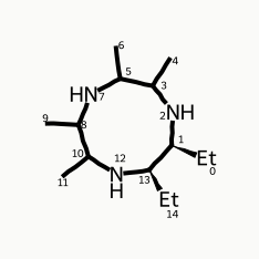 CC[C@@H]1NC(C)C(C)NC(C)C(C)N[C@@H]1CC